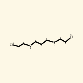 ClCCSCCCSCCCl